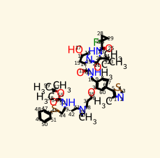 Cc1ncsc1-c1ccc(CNC(=O)[C@@H]2C[C@@H](O)CN2C(=O)[C@@H](NC(=O)C2(F)CC2)C(C)(C)C)c(OCCCN(C)CC[C@H](CSc2ccccc2)NC(=O)OC(C)(C)C)c1